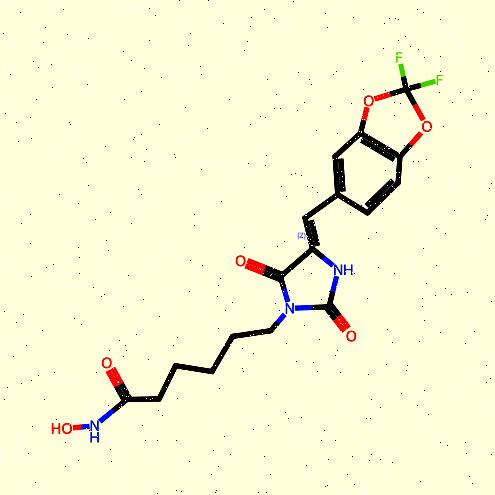 O=C(CCCCCN1C(=O)N/C(=C\c2ccc3c(c2)OC(F)(F)O3)C1=O)NO